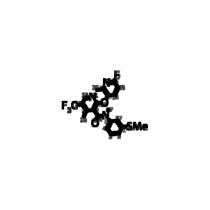 CSc1cccc(N(C)C(=O)c2c(Oc3ccc(F)nc3C)ncc(C(F)(F)F)c2C)c1